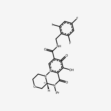 CC(C)N1C(=O)c2c(O)c(=O)c(C(=O)NCc3c(F)cc(F)cc3I)cn2N2CCOC[C@@H]12